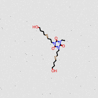 CCn1c(=O)n(CCCSCCCCO)c(=O)n(CCCSCCCCO)c1=O